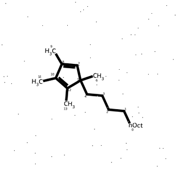 CCCCCCCCCCCCC1(C)[C]=C(C)C(C)=C1C